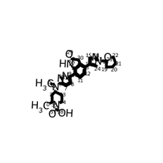 CC1CC(N(C)c2ccc(-c3ccc(-c4cnn(C5CCCCO5)c4)c4c3NC(=O)C4)nn2)CCN1C(=O)O